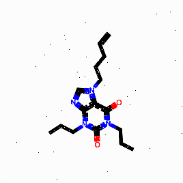 C=CCCCn1cnc2c1c(=O)n(CCC)c(=O)n2CCC